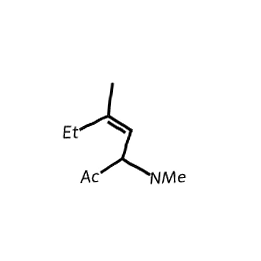 CC/C(C)=C\C(NC)C(C)=O